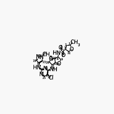 CC1CC(S(=O)(=O)NC2COC3C(Nc4nc(Nc5cnn(C)c5)ncc4Cl)COC23)CO1